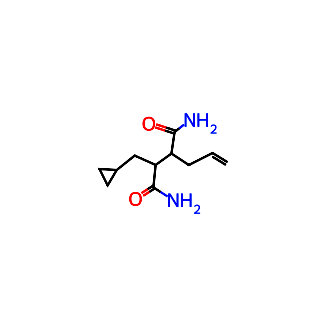 C=CCC(C(N)=O)C(CC1CC1)C(N)=O